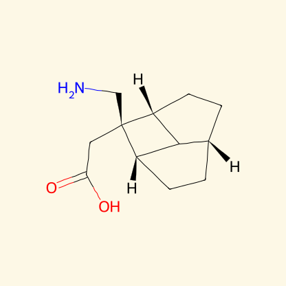 NC[C@@]1(CC(=O)O)[C@@H]2CC[C@@H]3CC[C@H]1C32